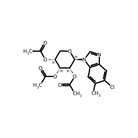 CC(=O)O[C@@H]1[C@H](OC(C)=O)[C@H](OC(C)=O)CO[C@H]1n1cnc2cc(Cl)c(C)cc21